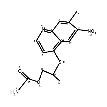 Cc1cc2nccc(SC(C)COC(N)=O)c2cc1[N+](=O)[O-]